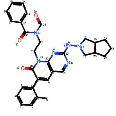 Cc1ccccc1-c1cc2cnc(NN3CC4CCCC4C3)nc2n(CCN(C=O)C(=O)c2ccccc2)c1=O